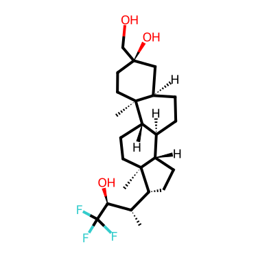 C[C@@H]([C@H]1CC[C@H]2[C@@H]3CC[C@@H]4C[C@@](O)(CO)CC[C@]4(C)[C@H]3CC[C@]12C)[C@H](O)C(F)(F)F